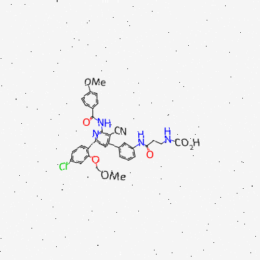 COCOc1cc(Cl)ccc1-c1cc(-c2cccc(NC(=O)CCNC(=O)O)c2)c(C#N)c(NC(=O)c2ccc(OC)cc2)n1